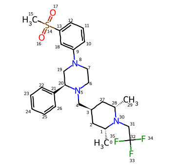 C[C@@H]1C[C@@H](CN2CCN(c3cccc(S(C)(=O)=O)c3)C[C@@H]2c2ccccc2)C[C@H](C)N1CC(F)(F)F